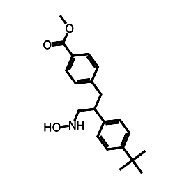 COC(=O)c1ccc(CC(CNO)c2ccc(C(C)(C)C)cc2)cc1